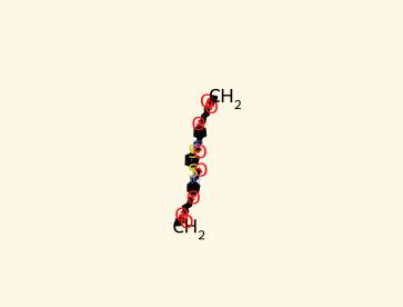 C=CC(=O)OCCCCOc1ccc(/C=C/C(=O)Sc2ccc(SC(=O)/C=C/c3ccc(OCCCCOC(=O)C=C)cc3)cc2)cc1